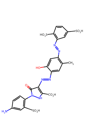 Cc1cc(N=Nc2c(C(=O)O)[nH]n(-c3ccc(N)cc3S(=O)(=O)O)c2=O)c(O)cc1N=Nc1cc(S(=O)(=O)O)ccc1S(=O)(=O)O